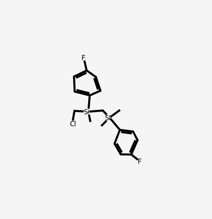 C[Si](C)(C[Si](C)(CCl)c1ccc(F)cc1)c1ccc(F)cc1